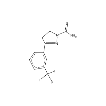 NC(=S)N1CCC(c2cccc(C(F)(F)F)c2)=N1